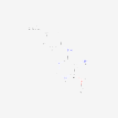 CCOC(=O)c1ccc(Nc2ncnc(OCC)c2N)cc1